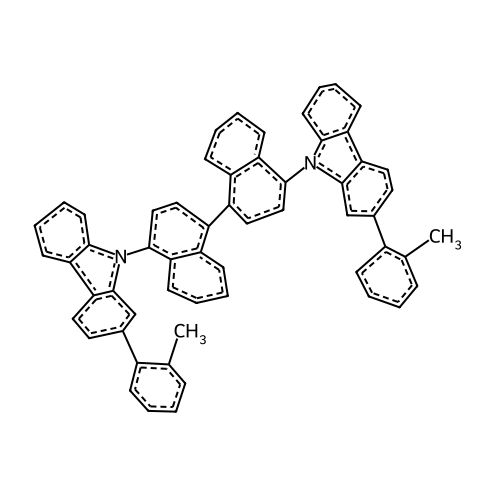 Cc1ccccc1-c1ccc2c3ccccc3n(-c3ccc(-c4ccc(-n5c6ccccc6c6ccc(-c7ccccc7C)cc65)c5ccccc45)c4ccccc34)c2c1